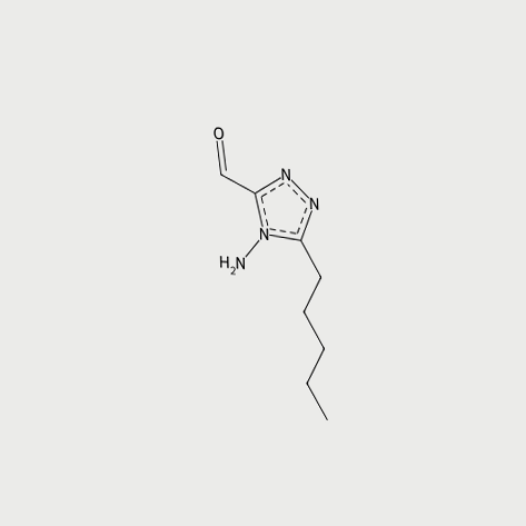 CCCCCc1nnc(C=O)n1N